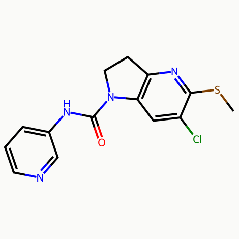 CSc1nc2c(cc1Cl)N(C(=O)Nc1cccnc1)CC2